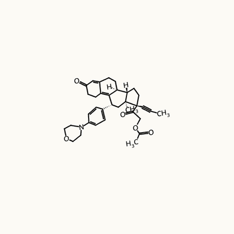 CC#C[C@]1(C(=O)COC(C)=O)CC[C@H]2[C@@H]3CCC4=CC(=O)CCC4=C3[C@@H](c3ccc(N4CCOCC4)cc3)C[C@@]21C